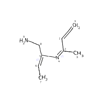 C=C/C(C)=N\C(=C/C)CN